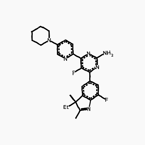 CCC1(C)C(C)=Nc2c(F)cc(-c3nc(N)nc(-c4ccc(N5CCCCC5)cn4)c3F)cc21